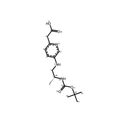 C[C@H](CNc1ccc(CC(=O)O)nc1)NC(=O)OC(C)(C)C